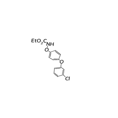 CCOC(=O)NOc1ccc(Oc2cccc(Cl)c2)cc1